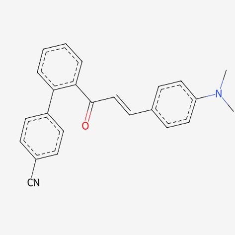 CN(C)c1ccc(C=CC(=O)c2ccccc2-c2ccc(C#N)cc2)cc1